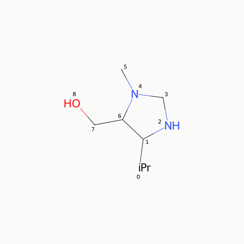 CC(C)C1NCN(C)C1CO